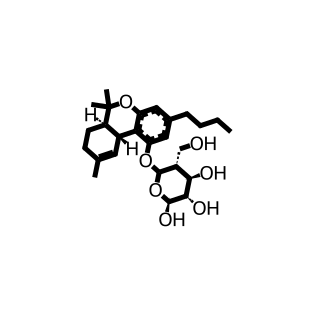 CCCCc1cc(OC2O[C@H](O)[C@@H](O)[C@H](O)[C@H]2CO)c2c(c1)OC(C)(C)[C@@H]1CCC(C)=C[C@@H]21